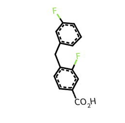 O=C(O)c1ccc(Cc2cccc(F)c2)c(F)c1